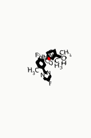 Cc1cc(F)c(NC(=O)N2C3C[C@@H](C)CC2(C(C)(C)O)C3)cc1-c1ncc(F)cn1